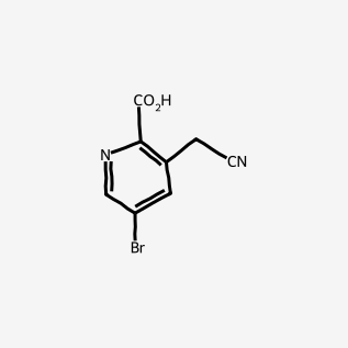 N#CCc1cc(Br)cnc1C(=O)O